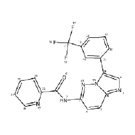 O=C(Nc1ccc2ncc(-c3cccc(C(F)(F)F)c3)n2n1)c1ccccn1